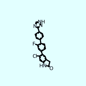 O=C1Cc2cc(-c3ccc(-c4ccc(-c5nc[nH]n5)cc4)c(F)c3)c(Cl)cc2N1